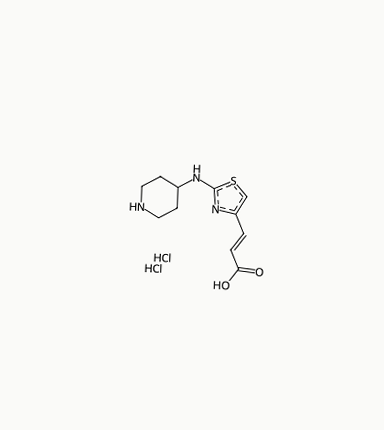 Cl.Cl.O=C(O)C=Cc1csc(NC2CCNCC2)n1